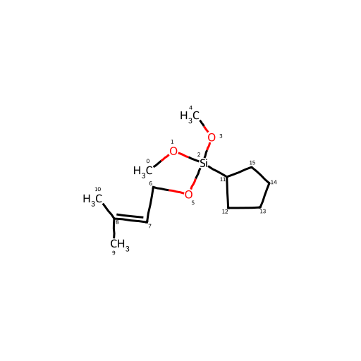 CO[Si](OC)(OCC=C(C)C)C1CCCC1